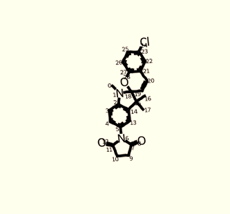 CN1c2ccc(N3C(=O)CCC3=O)cc2C(C)(C)C12C=Cc1cc(Cl)ccc1O2